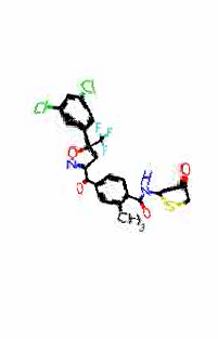 Cc1cc(C(=O)C2=NO[C@@](c3cc(Cl)cc(Cl)c3)(C(F)(F)F)C2)ccc1C(=O)NC1SCC1=O